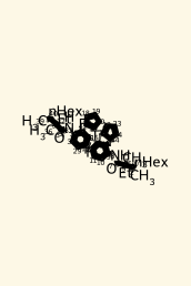 CCCCCCC(C)C(C)(CC)C(=O)Nc1ccc(F)[c]([Ti]([C]2=CC=CC2)([C]2=CC=CC2)[c]2c(F)ccc(NC(=O)C(C)(CC)C(C)CCCCCC)c2F)c1F